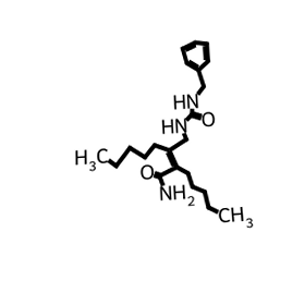 CCCCC/C(CNC(=O)NCc1ccccc1)=C(/CCCCC)C(N)=O